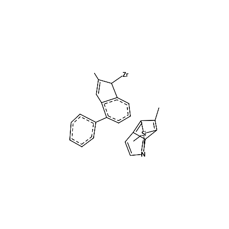 CC1=C2C3=NC=CC3=C1[Si]2(C)C.CC1=Cc2c(-c3ccccc3)cccc2[CH]1[Zr]